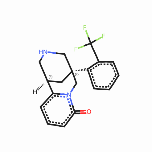 O=c1cccc2n1C[C@]1(c3ccccc3C(F)(F)F)CNC[C@H]2C1